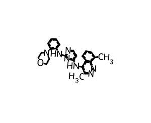 Cc1nnc2c(C)cccc2c1Nc1ccnc(Nc2ccccc2N2CCOCC2)n1